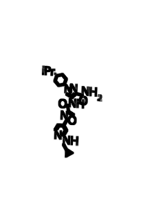 CC(C)[C@H]1CC[C@@H](n2cc(NC(=O)c3coc(-c4ccnc(NCC5CC5)c4)n3)c(C(N)=O)n2)CC1